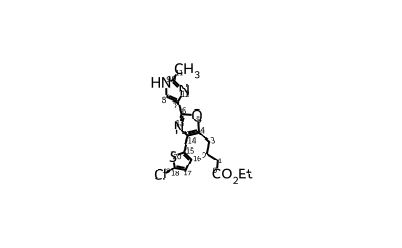 CCOC(=O)CCCc1oc(-c2c[nH]c(C)n2)nc1-c1ccc(Cl)s1